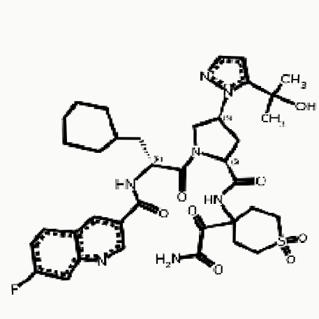 CC(C)(O)c1ccnn1[C@H]1C[C@@H](C(=O)NC2(C(=O)C(N)=O)CCS(=O)(=O)CC2)N(C(=O)[C@@H](CC2CCCCC2)NC(=O)c2cnc3cc(F)ccc3c2)C1